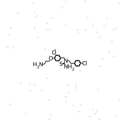 COc1cc(CN(CCc2ccc(Cl)cc2)C(N)=S)ccc1OCCCN